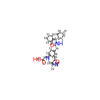 Cc1ccc(C(NC(=O)Cc2ccc(N(CC(=O)O)Cc3c(C)noc3C)cc2)c2ccccc2)cc1